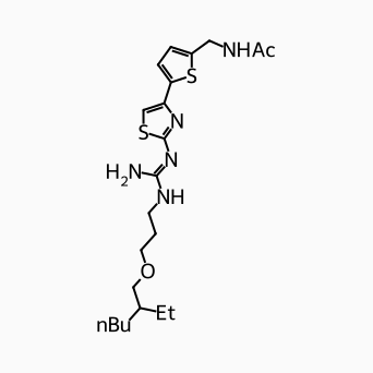 CCCCC(CC)COCCCN/C(N)=N/c1nc(-c2ccc(CNC(C)=O)s2)cs1